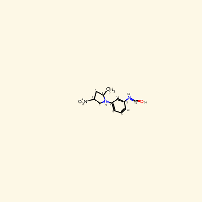 CC1CC([N+](=O)[O-])CN1c1cccc(N=C=O)c1